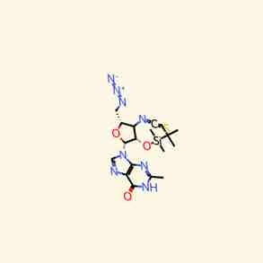 Cc1nc2c(ncn2[C@@H]2O[C@H](CN=[N+]=[N-])C(N=C=S)[C@@H]2O[Si](C)(C)C(C)(C)C)c(=O)[nH]1